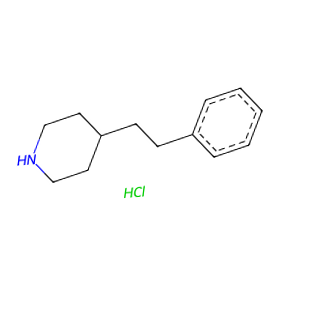 Cl.c1ccc(CCC2CCNCC2)cc1